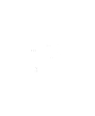 O=S(=O)(O)O.[KH].c1cc[nH]c1